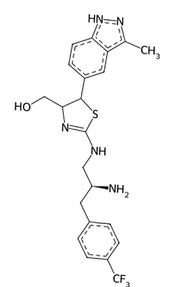 Cc1n[nH]c2ccc(C3SC(NC[C@@H](N)Cc4ccc(C(F)(F)F)cc4)=NC3CO)cc12